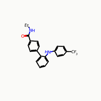 CCNC(=O)c1ccc(-c2ccccc2Nc2ccc(C(F)(F)F)cc2)cc1